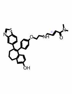 CN(C)C(=O)/C=C/CNCCOc1ccc(C2=C(c3ccc4scnc4c3)CCCc3cc(O)ccc32)cc1